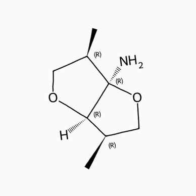 C[C@@H]1CO[C@]2(N)[C@H](C)CO[C@H]12